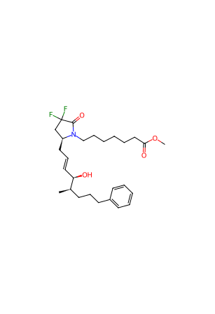 COC(=O)CCCCCCN1C(=O)C(F)(F)C[C@@H]1C/C=C/[C@@H](O)[C@H](C)CCCc1ccccc1